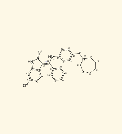 O=C1Nc2cc(Cl)ccc2/C1=C(/Nc1ccc(CN2CCCCCC2)cc1)c1ccccc1